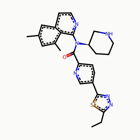 CCc1nnc(-c2ccc(C(=O)N(c3nccc4cc(C)cc(C)c34)[C@@H]3CCCNC3)nc2)s1